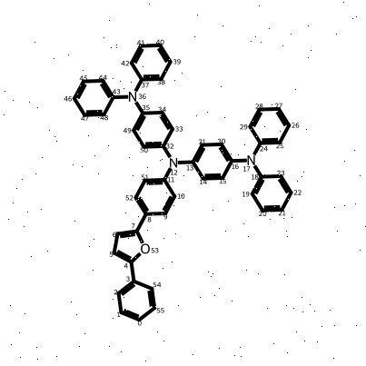 c1ccc(-c2ccc(-c3ccc(N(c4ccc(N(c5ccccc5)c5ccccc5)cc4)c4ccc(N(c5ccccc5)c5ccccc5)cc4)cc3)o2)cc1